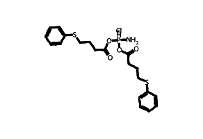 N[PH](Cl)(OC(=O)CCCSc1ccccc1)OC(=O)CCCSc1ccccc1